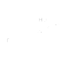 O=S(=O)(O)c1ccccc1-c1ccc(F)cc1